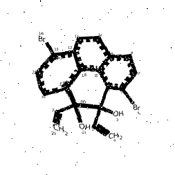 C=CC1(O)c2c(Br)ccc3ccc4c(Br)ccc(c4c23)C1(O)C=C